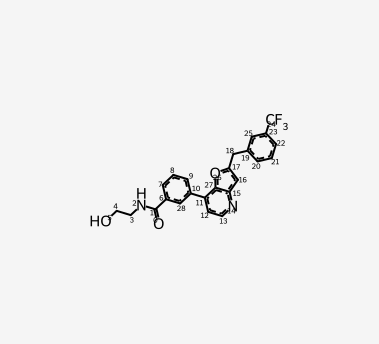 O=C(NCCO)c1cccc(-c2ccnc3cc(Cc4cccc(C(F)(F)F)c4)oc23)c1